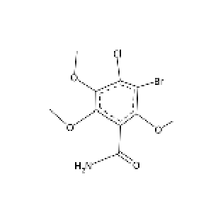 COc1c(Cl)c(Br)c(OC)c(C(N)=O)c1OC